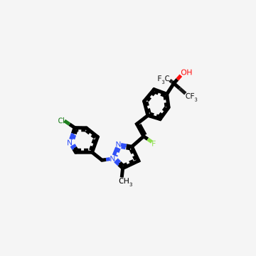 Cc1cc(/C(F)=C/c2ccc(C(O)(C(F)(F)F)C(F)(F)F)cc2)nn1Cc1ccc(Cl)nc1